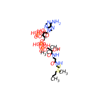 CCCC[SH](C)CCNC(=O)CCNC(=O)C(O)C(C)(C)COP(=O)(O)OP(=O)(O)OC[C@@H]1O[C@H](n2cnc3c(N)ncnc32)[C@@H](O)[C@H]1OP(=O)(O)O